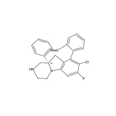 COc1ccccc1-c1c(Cl)c(F)cc2c1C[C@]1(c3ccccc3)CNCCN21